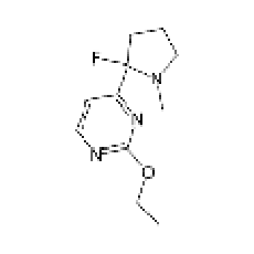 CCOc1nccc(C2(F)CCCN2C)n1